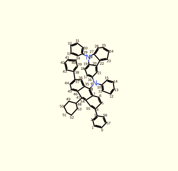 c1ccc(-c2ccc3c(N(c4ccccc4)c4ccc5c(c4)c4ccccc4n5-c4ccccc4)c4cc(-c5ccccc5)ccc4c(C4CCCCC4)c3c2)cc1